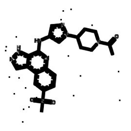 CC(=O)N1CCC(n2cc(Nc3nc4ccc(S(C)(=O)=O)cc4c4cn[nH]c34)cn2)CC1